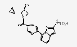 C1CC1.N#CC1CN(C(=O)c2ccc(-c3cccc4nc(NC(=O)O)nn34)cc2)C1